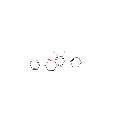 Cc1ccc(-c2cc3c(c(F)c2F)OC(c2ccccc2)CC3)cc1